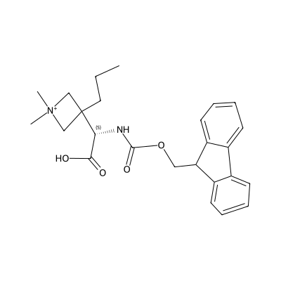 CCCC1([C@H](NC(=O)OCC2c3ccccc3-c3ccccc32)C(=O)O)C[N+](C)(C)C1